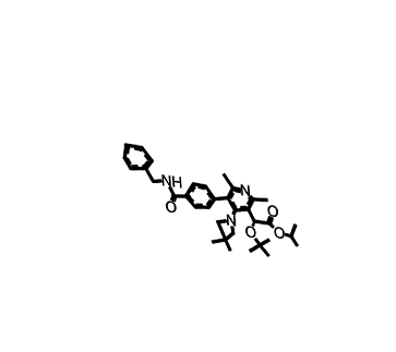 Cc1nc(C)c([C@H](OC(C)(C)C)C(=O)OC(C)C)c(N2CC(C)(C)C2)c1-c1ccc(C(=O)NCc2ccccc2)cc1